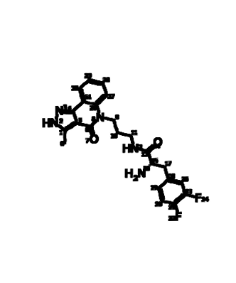 Cc1[nH]nc2c1c(=O)n(CCCNC(=O)[C@@H](N)Cc1ccc(F)c(F)c1)c1ccccc21